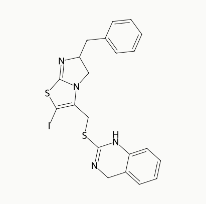 IC1=C(CSC2=NCc3ccccc3N2)N2CC(Cc3ccccc3)N=C2S1